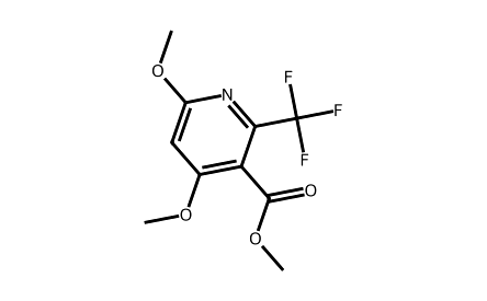 COC(=O)c1c(OC)cc(OC)nc1C(F)(F)F